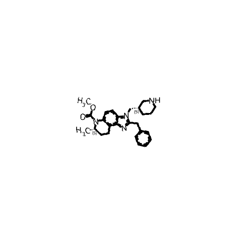 COC(=O)N1c2ccc3c(nc(Cc4ccccc4)n3C[C@H]3CCCNC3)c2CC[C@@H]1C